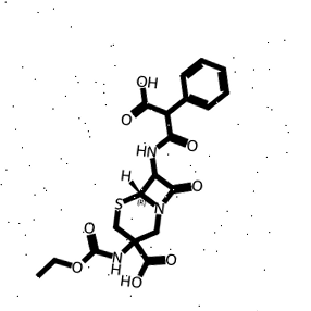 CCOC(=O)NC1(C(=O)O)CS[C@@H]2C(NC(=O)C(C(=O)O)c3ccccc3)C(=O)N2C1